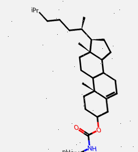 CCCCCCCNC(=O)OC1CC[C@@]2(C)C(=CCC3C2CC[C@@]2(C)C3CC[C@@H]2[C@H](C)CCCC(C)C)C1